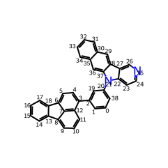 c1cc(-c2ccc3c4c(cccc24)-c2ccccc2-3)cc(-n2c3ccncc3c3cc4ccccc4cc32)c1